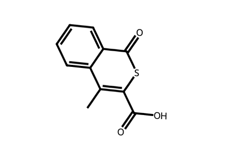 Cc1c(C(=O)O)sc(=O)c2ccccc12